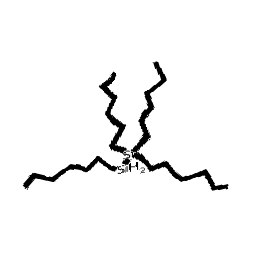 CCCCCC[SiH2][Si](CCCCCC)(CCCCCC)CCCCCC